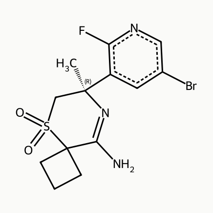 C[C@@]1(c2cc(Br)cnc2F)CS(=O)(=O)C2(CCC2)C(N)=N1